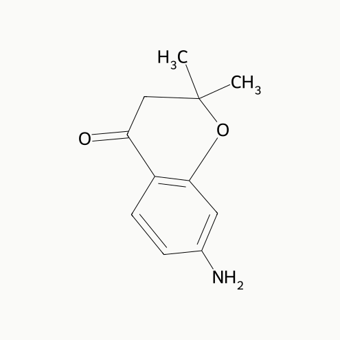 CC1(C)CC(=O)c2ccc(N)cc2O1